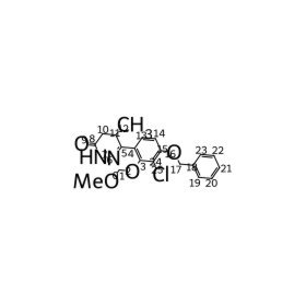 COCOc1c(C2=NNC(=O)CC2C)ccc(OCc2ccccc2)c1Cl